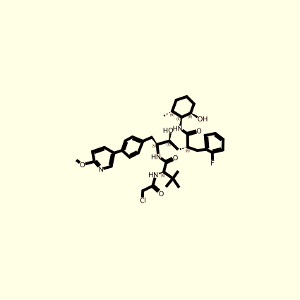 COc1ccc(-c2ccc(C[C@H](NC(=O)[C@@H](NC(=O)CCl)C(C)(C)C)[C@@H](O)C[C@@H](Cc3ccccc3F)C(=O)N[C@H]3[C@H](C)CCC[C@H]3O)cc2)cn1